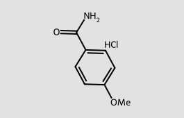 COc1ccc(C(N)=O)cc1.Cl